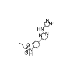 CCCS(=O)(=O)Nc1ccc(-c2ccnc(Nc3cnn(C)c3)n2)cc1